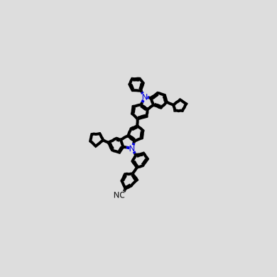 N#Cc1ccc(-c2cccc(-n3c4ccc(-c5ccc6c(c5)c5cc(C7CCCC7)ccc5n6-c5ccccc5)cc4c4cc(C5CCCC5)ccc43)c2)cc1